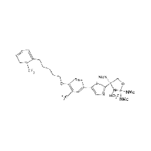 CNC1(NC)OC[C@](NC)(c2ncc(-c3ccc(OCCCCCc4ccccc4C(F)(F)F)c(C(F)(F)F)c3)s2)N1C(=O)O